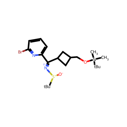 CC(C)(C)[S+]([O-])/N=C(/c1cccc(Br)n1)C1CC(CO[Si](C)(C)C(C)(C)C)C1